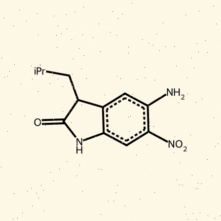 CC(C)CC1C(=O)Nc2cc([N+](=O)[O-])c(N)cc21